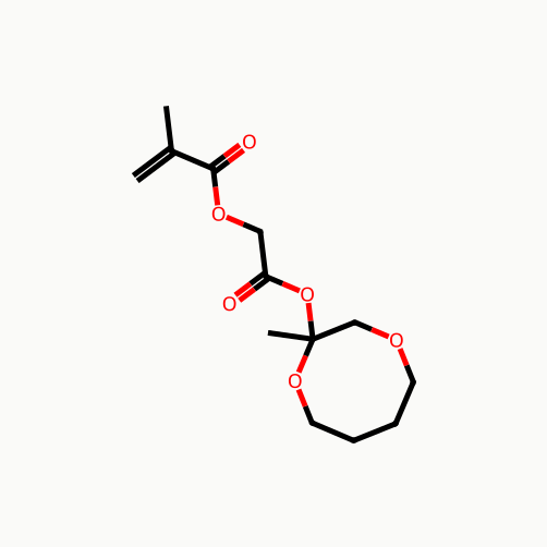 C=C(C)C(=O)OCC(=O)OC1(C)COCCCCO1